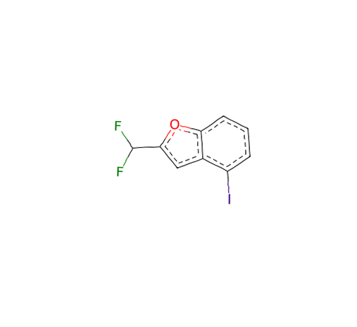 FC(F)c1cc2c(I)cccc2o1